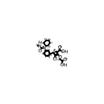 CNC(=O)N(c1cccc(-c2sc(C(=O)O)c(OCC(=O)O)c2Cl)c1)C1CCCCC1